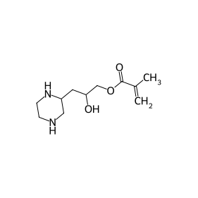 C=C(C)C(=O)OCC(O)CC1CNCCN1